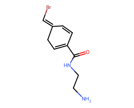 NCCNC(=O)C1=CCC(=CBr)C=C1